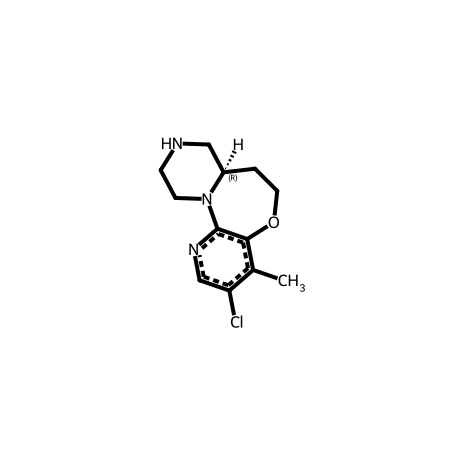 Cc1c(Cl)cnc2c1OCC[C@@H]1CNCCN21